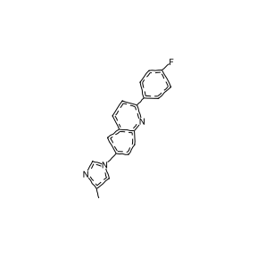 Cc1cn(-c2ccc3nc(-c4ccc(F)cc4)ccc3c2)cn1